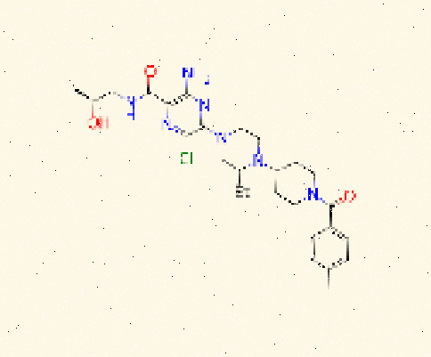 CC[C@H]1CN(c2nc(N)c(C(=O)NC[C@H](C)O)nc2Cl)CCN1C1CCN(C(=O)c2ccc(C)cc2)CC1